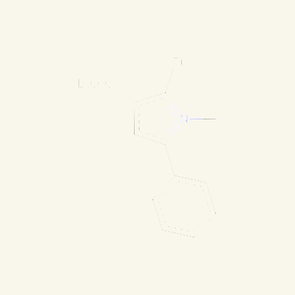 CCOC(=O)c1cc(-c2ccccc2)n(C)c1CC